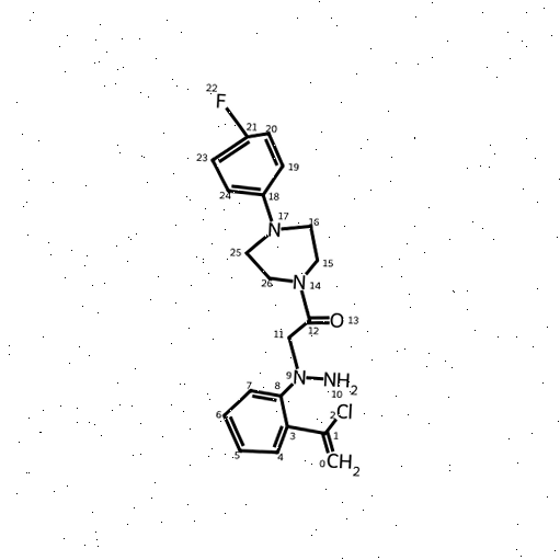 C=C(Cl)c1ccccc1N(N)CC(=O)N1CCN(c2ccc(F)cc2)CC1